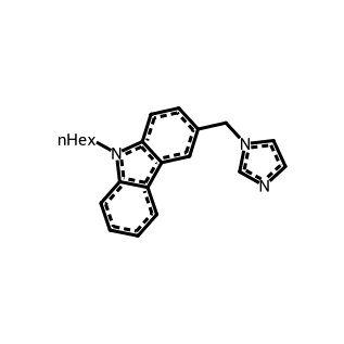 CCCCCCn1c2ccccc2c2cc(Cn3ccnc3)ccc21